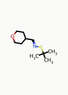 CC(C)(C)SN=CC1CCOCC1